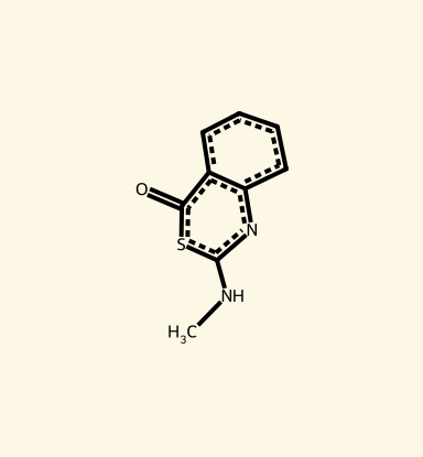 CNc1nc2ccccc2c(=O)s1